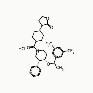 C[C@@H](O[C@H]1CCN(C(=O)C2CCN(C3CCOC3=O)CC2)C[C@H]1c1ccccc1)c1cc(C(F)(F)F)cc(C(F)(F)F)c1.Cl